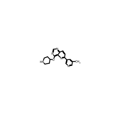 Cc1cncc(-c2ccc3ncnc(OC4CCNCC4)c3n2)c1